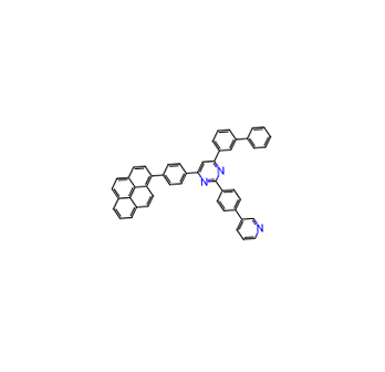 c1ccc(-c2cccc(-c3cc(-c4ccc(-c5ccc6ccc7cccc8ccc5c6c78)cc4)nc(-c4ccc(-c5cccnc5)cc4)n3)c2)cc1